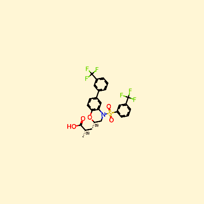 C[C@@H](C[C@H]1CN(S(=O)(=O)c2cccc(C(F)(F)F)c2)c2cc(-c3cccc(C(F)(F)F)c3)ccc2O1)C(=O)O